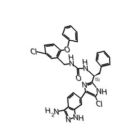 Nc1n[nH]c2cc(-c3nc([C@H](Cc4ccccc4)NC(=O)NCc4cc(Cl)ccc4Oc4ccccc4)[nH]c3Cl)ccc12